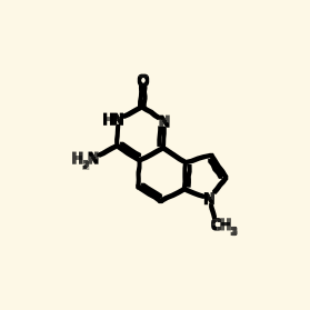 Cn1ccc2c3nc(=O)[nH]c(N)c3ccc21